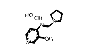 Cl.Cl.Oc1cnccc1N=CN1CCCC1